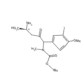 COc1ccc(C(C(=O)C[C@H](N)C(=O)O)N(C)C(=O)OC(C)(C)C)cc1I